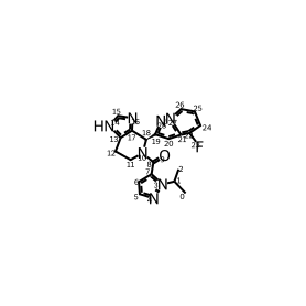 CC(C)n1nccc1C(=O)N1CCc2[nH]cnc2[C@H]1c1cc2c(F)cccn2n1